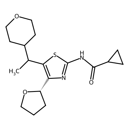 CC(c1sc(NC(=O)C2CC2)nc1[C@@H]1CCCO1)C1CCOCC1